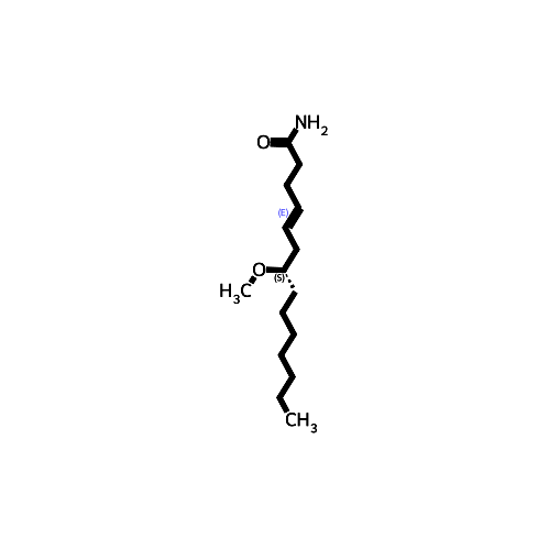 CCCCCCC[C@@H](C/C=C/CCC(N)=O)OC